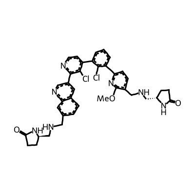 COc1nc(-c2cccc(-c3ccnc(-c4cnc5cc(CNC[C@H]6CCC(=O)N6)ccc5c4)c3Cl)c2Cl)ccc1CNC[C@@H]1CCC(=O)N1